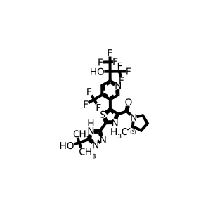 C[C@H]1CCCN1C(=O)c1nc(-c2nnc(C(C)(C)O)[nH]2)sc1-c1cnc(C(O)(C(F)(F)F)C(F)(F)F)cc1C(F)(F)F